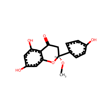 CO[C@@]1(c2ccc(O)cc2)CC(=O)c2c(O)cc(O)cc2O1